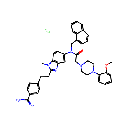 COc1ccccc1N1CCN(CC(=O)N(Cc2cccc3ccccc23)c2ccc3c(c2)nc(CCc2ccc(C(=N)N)cc2)n3C)CC1.Cl.Cl